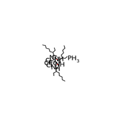 CCCCCC(CC)c1c[nH][c]([Cr]([Cl])([Cl])([Cl])([c]2nc(C(CC)CCCCC)c[nH]2)[c]2nc(C(CC)CCCCC)c[nH]2)n1.P